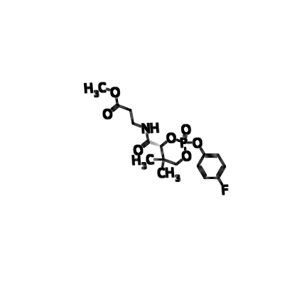 COC(=O)CCNC(=O)[C@@H]1OP(=O)(Oc2ccc(F)cc2)OCC1(C)C